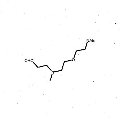 CNCCOCCN(C)CCC=O